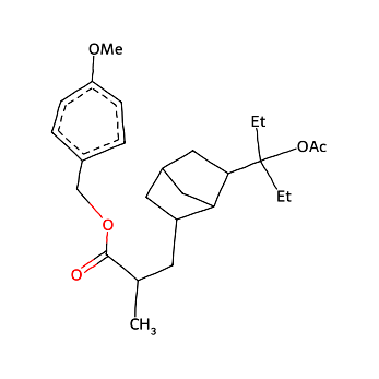 CCC(CC)(OC(C)=O)C1CC2CC(CC(C)C(=O)OCc3ccc(OC)cc3)C1C2